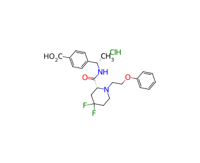 C[C@H](NC(=O)[C@H]1CC(F)(F)CCN1CCOc1ccccc1)c1ccc(C(=O)O)cc1.Cl